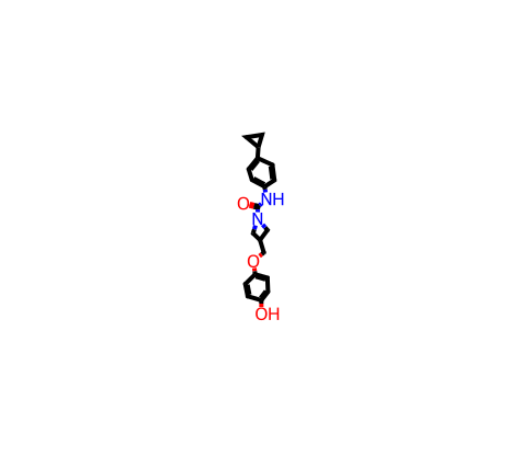 O=C(Nc1ccc(C2CC2)cc1)N1CC(COc2ccc(O)cc2)C1